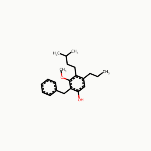 CCCc1cc(O)c(Cc2ccccc2)c(OC)c1CCC(C)C